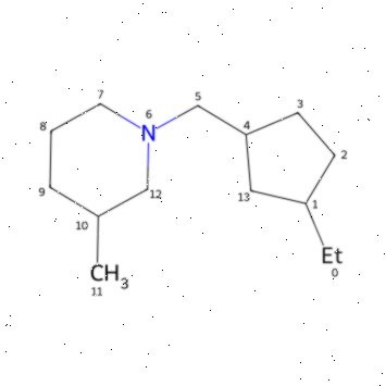 CCC1CCC(CN2CCCC(C)C2)C1